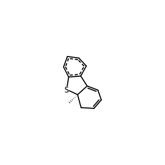 C[C@@]12CC=CC=C1c1ccccc1S2